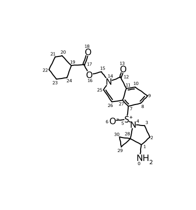 NC1CCN([S+]([O-])c2cccc3c(=O)n(COC(=O)C4CCCCC4)ccc23)C12CC2